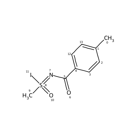 Cc1ccc(C(=O)N=S(C)(=O)I)cc1